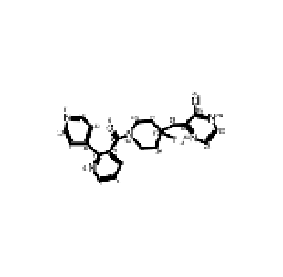 O=C(c1cccnc1-c1ccncc1)N1CCC(F)(Cc2nccnc2Cl)CC1